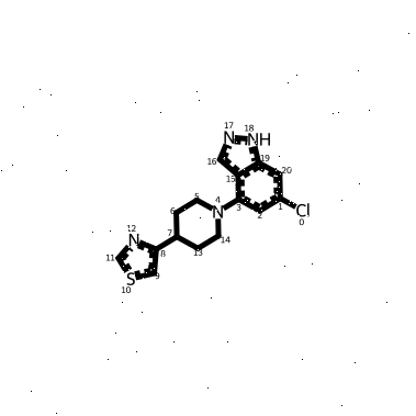 Clc1cc(N2CCC(c3cscn3)CC2)c2cn[nH]c2c1